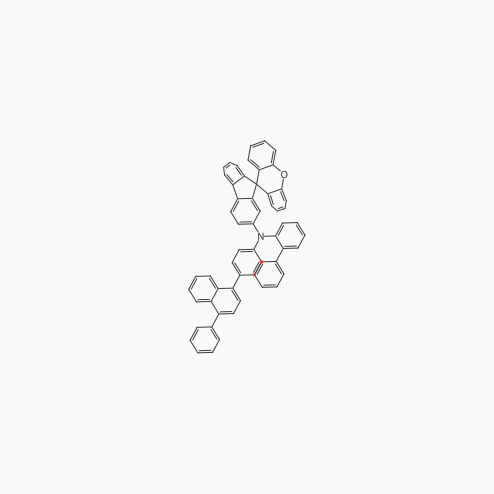 c1ccc(-c2ccccc2N(c2ccc(-c3ccc(-c4ccccc4)c4ccccc34)cc2)c2ccc3c(c2)C2(c4ccccc4Oc4ccccc42)c2ccccc2-3)cc1